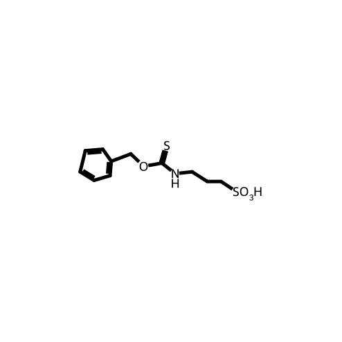 O=S(=O)(O)CCCNC(=S)OCc1ccccc1